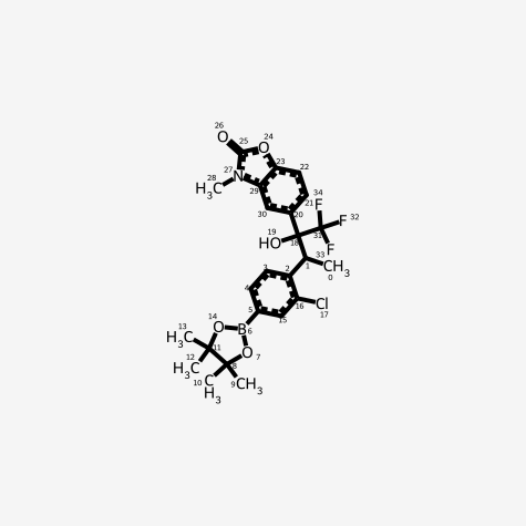 CC(c1ccc(B2OC(C)(C)C(C)(C)O2)cc1Cl)C(O)(c1ccc2oc(=O)n(C)c2c1)C(F)(F)F